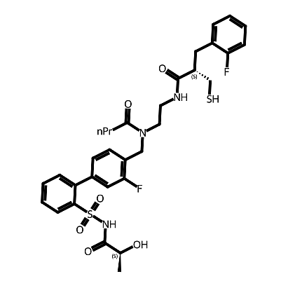 CCCC(=O)N(CCNC(=O)[C@@H](CS)Cc1ccccc1F)Cc1ccc(-c2ccccc2S(=O)(=O)NC(=O)[C@H](C)O)cc1F